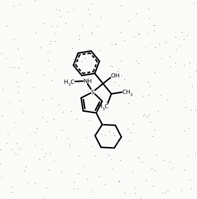 CNS1(C(O)(c2ccccc2)C(C)C)C=CC(C2CCCCC2)=C1